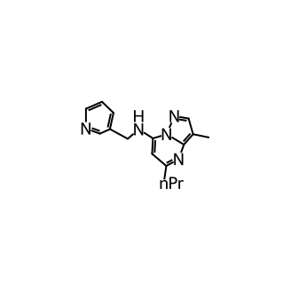 CCCc1cc(NCc2cccnc2)n2ncc(C)c2n1